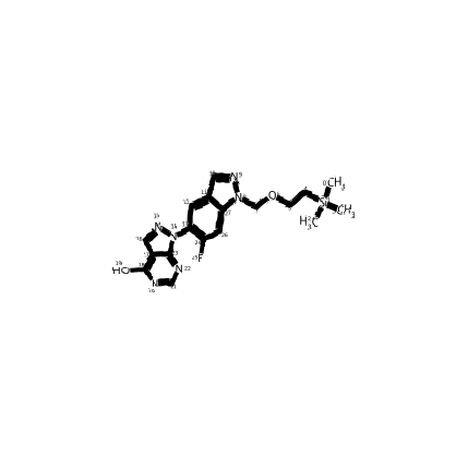 C[Si](C)(C)CCOCn1ncc2cc(-n3ncc4c(O)ncnc43)c(F)cc21